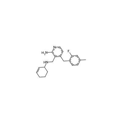 Cc1ccc(Cc2ccnc(N)c2CNC2C=CCCC2)c(F)c1